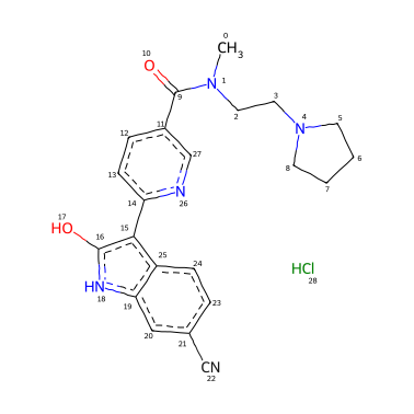 CN(CCN1CCCC1)C(=O)c1ccc(-c2c(O)[nH]c3cc(C#N)ccc23)nc1.Cl